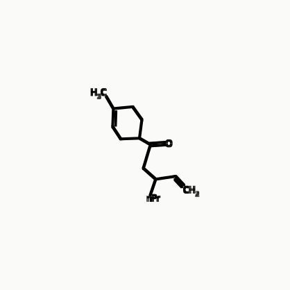 C=CC(CCC)CC(=O)C1CC=C(C)CC1